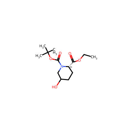 CCOC(=O)[C@@H]1CCC(O)CN1C(=O)OC(C)(C)C